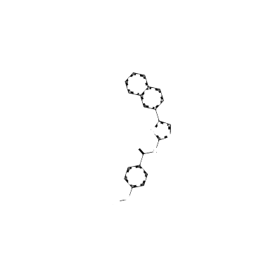 O=C(Nc1nc(-c2ccc3ccccc3c2)cs1)c1ccc(OC(F)(F)F)cc1